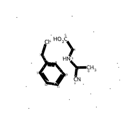 CC(C#N)NCC(=O)O.ClCc1ccccc1